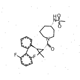 CC1(C)[C@@H](C(=O)N2CCC[C@H](NS(C)(=O)=O)CC2)[C@@H]1c1ccccc1-c1c(F)cccc1F